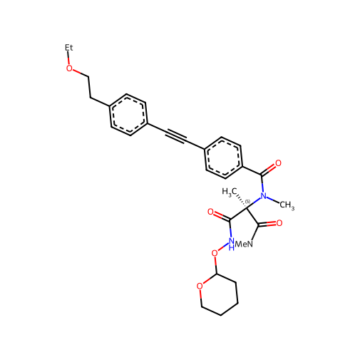 CCOCCc1ccc(C#Cc2ccc(C(=O)N(C)[C@@](C)(C(=O)NC)C(=O)NOC3CCCCO3)cc2)cc1